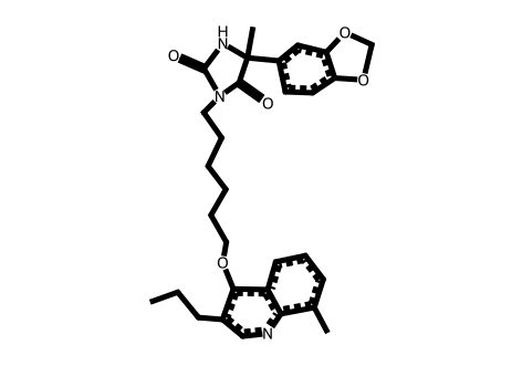 CCCc1cnc2c(C)cccc2c1OCCCCCCN1C(=O)NC(C)(c2ccc3c(c2)OCO3)C1=O